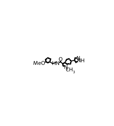 COc1cccc(CCNC(=O)c2cn(C)c3cc(-c4cn[nH]c4)ccc23)c1